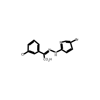 O=C(O)/C(=N\Nc1ccc(Br)cn1)c1cccc(Cl)c1